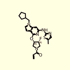 C=CC(=O)N1C[C@@H](F)[C@H](Oc2nc(Nc3ncc(C)s3)cc3c2ccn3CC2CCCC2)C1